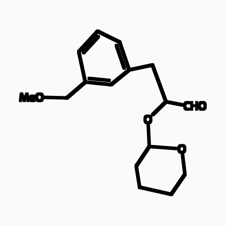 COCc1cccc(CC(C=O)OC2CCCCO2)c1